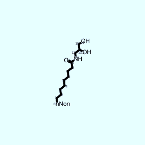 CCCCCCCCCCCCCCCCCC(=O)NCC(O)CO